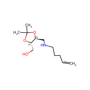 C=CCCCNC[C@@H]1OC(C)(C)O[C@H]1CO